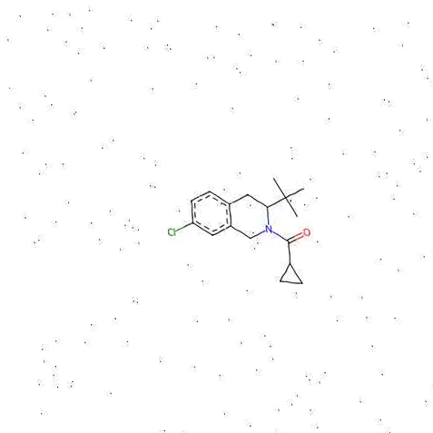 CC(C)(C)C1Cc2ccc(Cl)cc2CN1C(=O)C1CC1